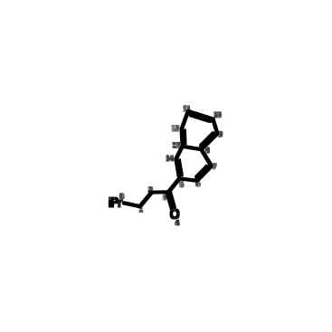 CC(C)CCC(=O)c1ccc2ccccc2c1